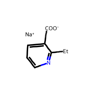 CCc1ncccc1C(=O)[O-].[Na+]